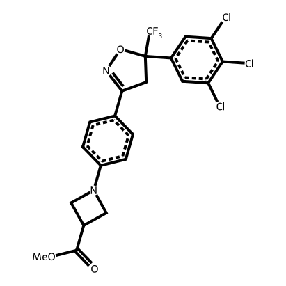 COC(=O)C1CN(c2ccc(C3=NOC(c4cc(Cl)c(Cl)c(Cl)c4)(C(F)(F)F)C3)cc2)C1